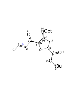 C/C=C/C(=O)[C@@H]1CN(C(=O)OC(C)(C)C)C[C@@H]1CCCCCCCC